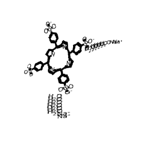 O.O.O.O.O.O.O.O.O.O.O.O.O=S(=O)([O-])c1ccc(C2=C3C=CC(=N3)C(c3ccc(S(=O)(=O)[O-])cc3)=C3C=CC(=N3)C(c3ccc(S(=O)(=O)[O-])cc3)=C3C=CC(=N3)C(c3ccc(S(=O)(=O)[O-])cc3)=C3C=CC2=N3)cc1.[Na+].[Na+].[Na+].[Na+]